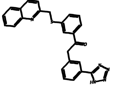 O=C(Cc1cccc(-c2nnn[nH]2)c1)c1cccc(SCc2ccc3ccccc3n2)c1